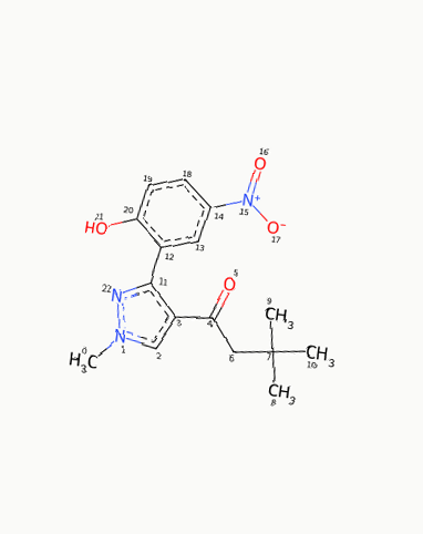 Cn1cc(C(=O)CC(C)(C)C)c(-c2cc([N+](=O)[O-])ccc2O)n1